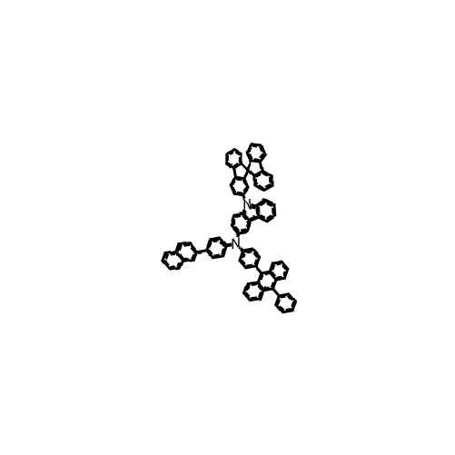 c1ccc(-c2c3ccccc3c(-c3ccc(N(c4ccc(-c5ccc6ccccc6c5)cc4)c4ccc5c(c4)c4ccccc4n5-c4ccc5c(c4)C4(c6ccccc6-c6ccccc64)c4ccccc4-5)cc3)c3ccccc23)cc1